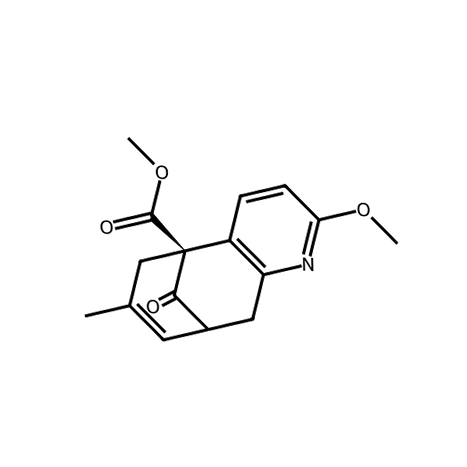 COC(=O)[C@@]12CC(C)=CC(Cc3nc(OC)ccc31)C2=O